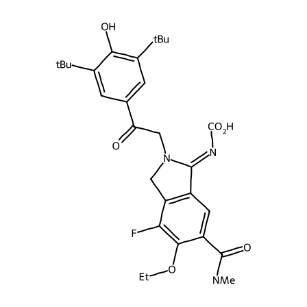 CCOc1c(C(=O)NC)cc2c(c1F)CN(CC(=O)c1cc(C(C)(C)C)c(O)c(C(C)(C)C)c1)/C2=N\C(=O)O